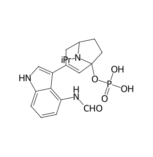 CC(C)N1C2CCC1(OP(=O)(O)O)C=C(c1c[nH]c3cccc(NC=O)c13)C2